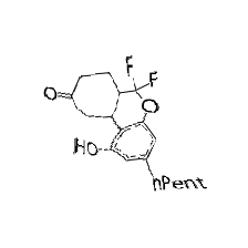 CCCCCc1cc(O)c2c(c1)OC(F)(F)C1CCC(=O)CC21